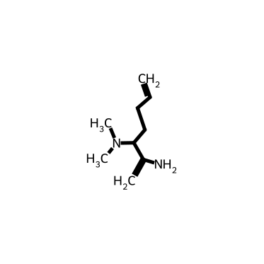 C=CCCC(C(=C)N)N(C)C